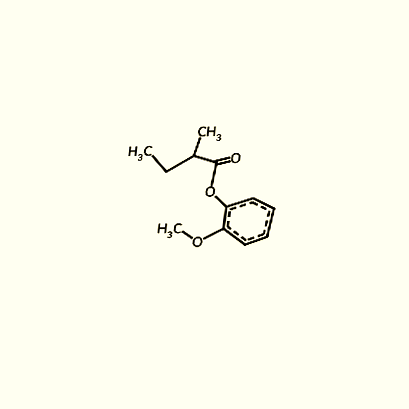 CCC(C)C(=O)Oc1ccccc1OC